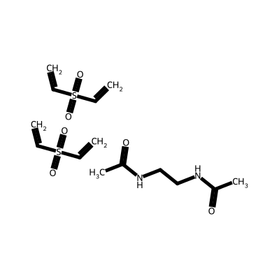 C=CS(=O)(=O)C=C.C=CS(=O)(=O)C=C.CC(=O)NCCNC(C)=O